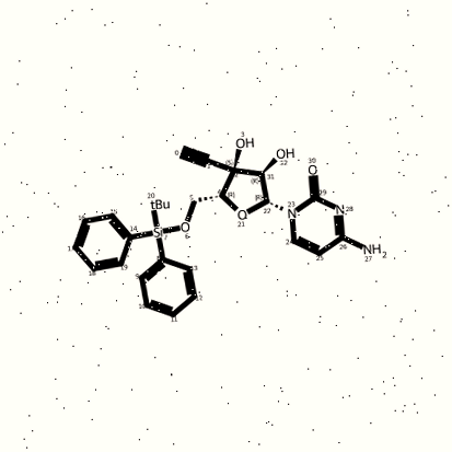 C#C[C@@]1(O)[C@@H](CO[Si](c2ccccc2)(c2ccccc2)C(C)(C)C)O[C@@H](n2ccc(N)nc2=O)[C@@H]1O